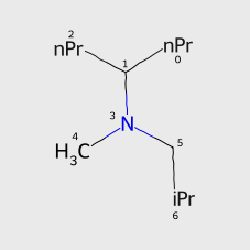 CCCC(CCC)N(C)CC(C)C